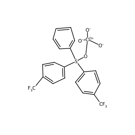 [O-][Cl+3]([O-])([O-])OS(c1ccccc1)(c1ccc(C(F)(F)F)cc1)c1ccc(C(F)(F)F)cc1